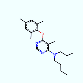 CCCCN(CCC)c1ncnc(Oc2c(C)cc(C)cc2C)c1C